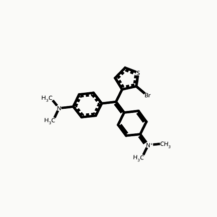 CN(C)c1ccc(C(=C2C=CC(=[N+](C)C)C=C2)c2ccsc2Br)cc1